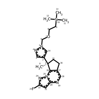 C[C@]1(c2cnn(COCC[Si](C)(C)C)c2)CCc2cnc3cc(F)nn3c21